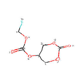 O=C1OCC(OC(=O)OCF)CO1